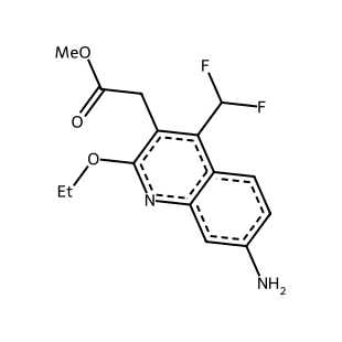 CCOc1nc2cc(N)ccc2c(C(F)F)c1CC(=O)OC